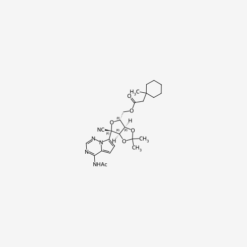 CC(=O)Nc1ncnn2c([C@]3(C#N)O[C@H](COC(=O)CC4(C)CCCCC4)[C@H]4OC(C)(C)O[C@H]43)ccc12